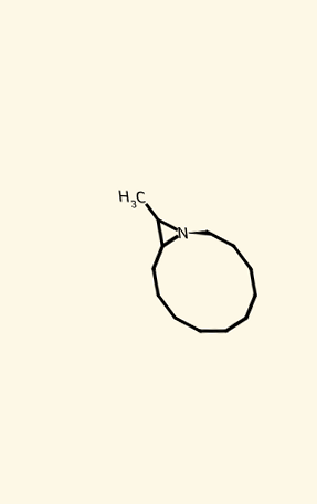 CC1C2CCCCCCCCCC[N@]12